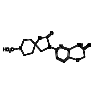 O=C1COc2ccc(N3CC4(CCN(C(=O)O)CC4)OC3=O)nc2N1